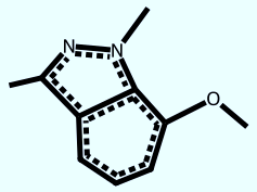 COc1cccc2c(C)nn(C)c12